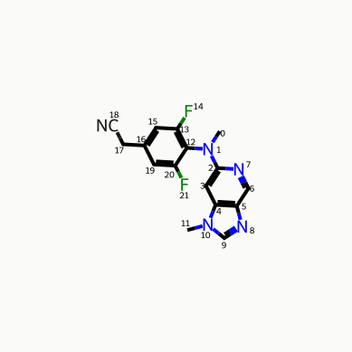 CN(c1cc2c(cn1)ncn2C)c1c(F)cc(CC#N)cc1F